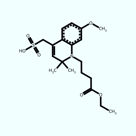 CCOC(=O)CCCN1c2cc(OC)ccc2C(CS(=O)(=O)O)=CC1(C)C